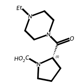 CCN1CCN(C(=O)[C@@H]2CCCN2C(=O)O)CC1